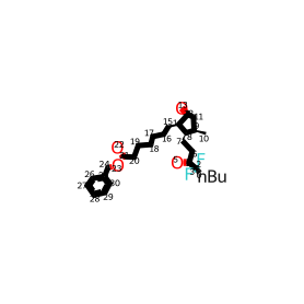 CCCCC(F)(F)C(=O)CC[C@H]1[C@H](C)CC(=O)[C@@H]1CCCCCCC(=O)OCc1ccccc1